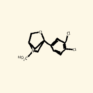 O=C(O)N1CC2(c3ccc(Cl)c(Cl)c3)CC1CO2